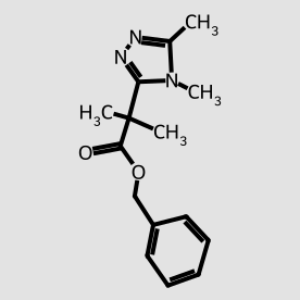 Cc1nnc(C(C)(C)C(=O)OCc2ccccc2)n1C